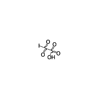 O=S(=O)(O)S(=O)(=O)I